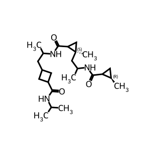 CC(C)NC(=O)C1CC(CC(C)NC(=O)C2C[C@@]2(C)CC(C)NC(=O)C2C[C@H]2C)C1